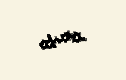 Cc1nc2sccn2c(=O)c1CCN1CC2CC(c3ccc(C(C)(C)C)cc3)C2C1